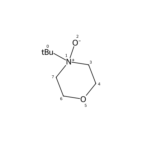 CC(C)(C)[N+]1([O-])CCOCC1